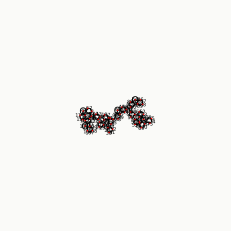 C1=Cc2c(oc3cccc(N(c4ccc(-c5ccccc5-c5ccccc5-n5c6ccccc6c6cc(-c7ccc8c(c7)oc7ccc(N(c9ccc(-c%10ccccc%10-c%10ccccc%10-n%10c%11ccccc%11c%11ccccc%11%10)cc9)c9ccc%10oc%11ccccc%11c%10c9)cc78)ccc65)cc4)c4ccc5oc6ccccc6c5c4)c23)CC1